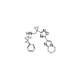 c1ccc([C@H]2C[C@@H]2NCC2(c3noc(-c4cn5c(n4)CCCC5)n3)CC2)cc1